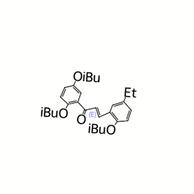 CCc1ccc(OCC(C)C)c(/C=C/C(=O)c2cc(OCC(C)C)ccc2OCC(C)C)c1